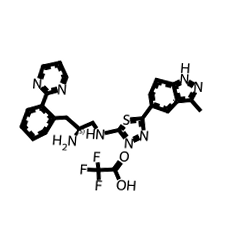 Cc1n[nH]c2ccc(-c3nnc(NC[C@@H](N)Cc4ccccc4-c4ncccn4)s3)cc12.O=C(O)C(F)(F)F